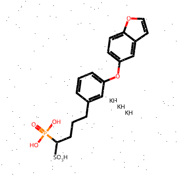 O=P(O)(O)C(CCCc1cccc(Oc2ccc3occc3c2)c1)S(=O)(=O)O.[KH].[KH].[KH]